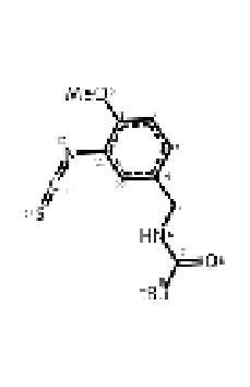 COc1ccc(CNC(=O)C(C)(C)C)cc1N=C=S